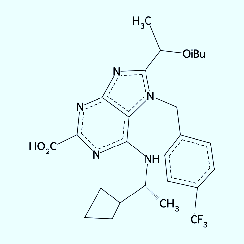 CC(C)COC(C)c1nc2nc(C(=O)O)nc(N[C@H](C)C3CCC3)c2n1Cc1ccc(C(F)(F)F)cc1